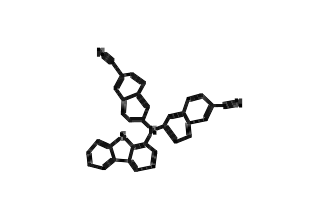 N#Cc1ccc2cc(N(c3ccc4cc(C#N)ccc4c3)c3cccc4c3sc3ccccc34)ccc2c1